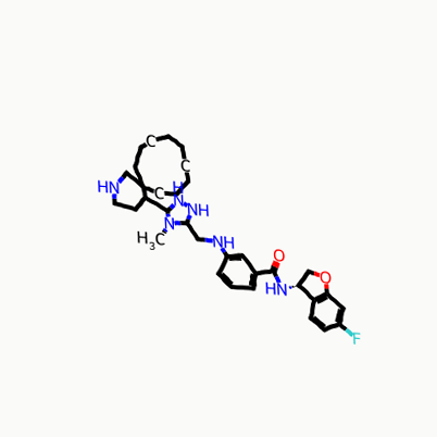 CN1C(CNc2cccc(C(=O)N[C@@H]3COc4cc(F)ccc43)c2)NNC1C1CCNCC12CCCCCCCCC2